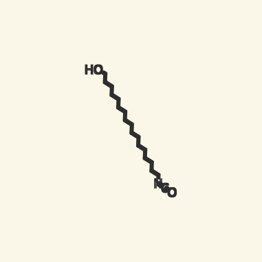 O=C=NCCCCCCCCCCCCCCCCCO